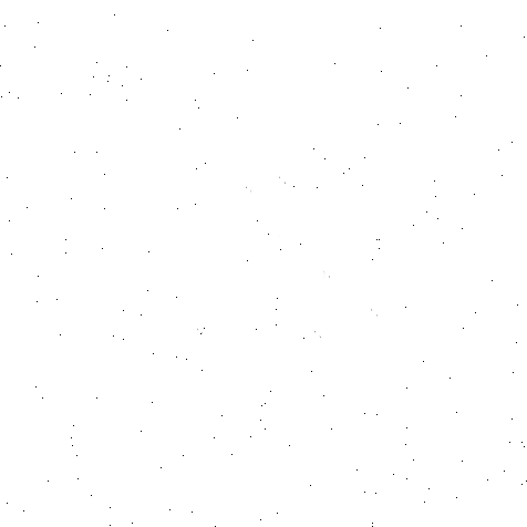 CCc1cccc(CC)c1-n1nc2c(c1-c1ccc(I)c3c1ccn3C)CN(c1ncc(C)cn1)CC2